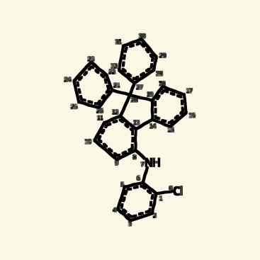 Clc1ccccc1Nc1cccc2c1-c1ccccc1C2(c1ccccc1)c1ccccc1